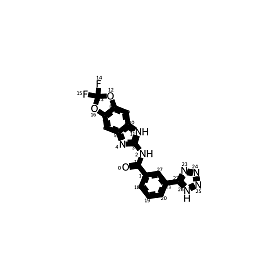 O=C(Nc1nc2cc3c(cc2[nH]1)OC(F)(F)O3)c1cccc(-c2nnn[nH]2)c1